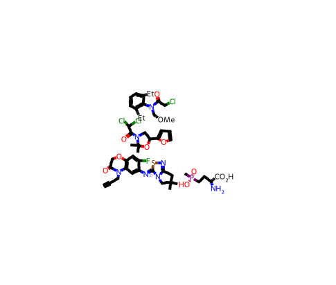 C#CCN1C(=O)COc2cc(F)c(/N=c3\snc4n3CC(C)(C)C4)cc21.CC1(C)OC(c2ccco2)CN1C(=O)C(Cl)Cl.CCc1cccc(CC)c1N(COC)C(=O)CCl.CP(=O)(O)CCC(N)C(=O)O